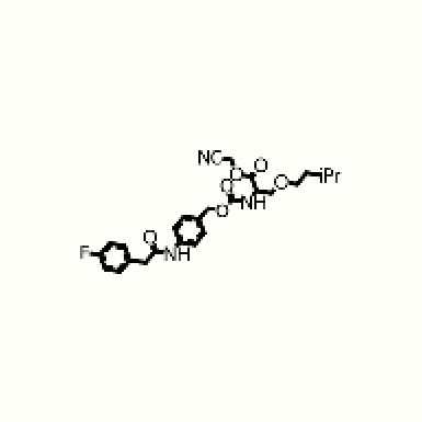 CC(C)CCOCC(NC(=O)OCc1ccc(NC(=O)Cc2ccc(F)cc2)cc1)C(=O)OCC#N